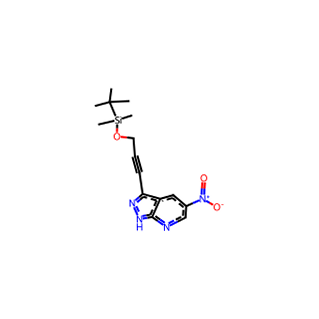 CC(C)(C)[Si](C)(C)OCC#Cc1n[nH]c2ncc([N+](=O)[O-])cc12